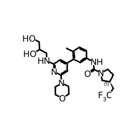 Cc1ccc(NC(=O)N2CC[C@@H](CC(F)(F)F)C2)cc1-c1cc(NCC(O)CO)nc(N2CCOCC2)c1